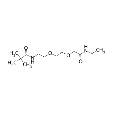 CCNC(=O)COCCOCCNC(=O)C(C)(C)C